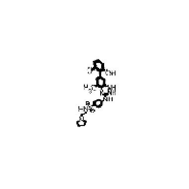 Cc1cc(-c2c(O)cccc2Cl)cc2c1N=C(Nc1ccc(S(=O)(=O)NCCN3CCCC3)cc1)NN2